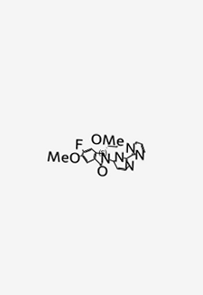 COCC[C@H]1c2cc(F)c(OC)cc2C(=O)N1c1ccnc(-c2ncccn2)n1